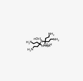 CCCCCCCCN(C(CCN)(CCN)CCCCCCC)C(CCN)(CCN)C(=O)O